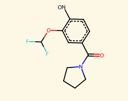 O=Nc1ccc(C(=O)N2CCCC2)cc1OC(F)F